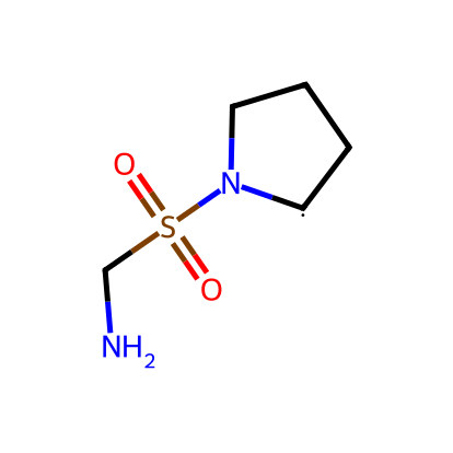 NCS(=O)(=O)N1[CH]CCC1